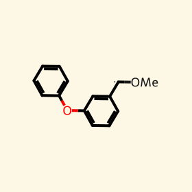 CO[CH]c1cccc(Oc2ccccc2)c1